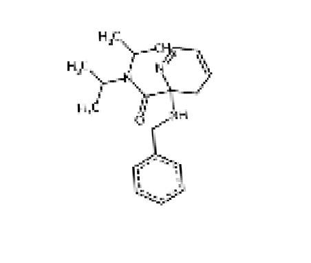 CC(C)N(C(=O)C1(NCc2ccccc2)CC=CC=N1)C(C)C